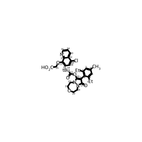 CCc1cc(C)cc(CC)c1-c1c(OC(=O)C(C)(C)C)n2n(c1=O)CCOCC2.O=C(O)COc1ccc(Cl)c2cccnc12